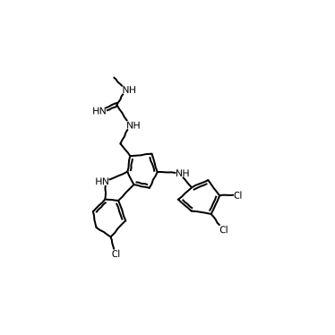 CNC(=N)NCc1cc(Nc2ccc(Cl)c(Cl)c2)cc2c3c([nH]c12)=CCC(Cl)C=3